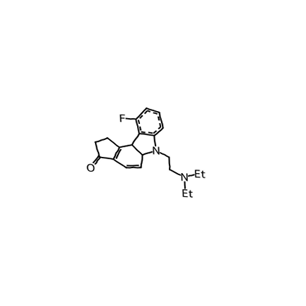 CCN(CC)CCN1c2cccc(F)c2C2C3=C(C=CC21)C(=O)CC3